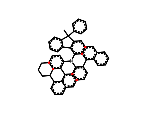 CC1(c2ccccc2)c2ccccc2-c2c(N(c3ccccc3-c3cccc4ccccc34)c3ccccc3-c3cccc4cccc(C5CCCCC5)c34)cccc21